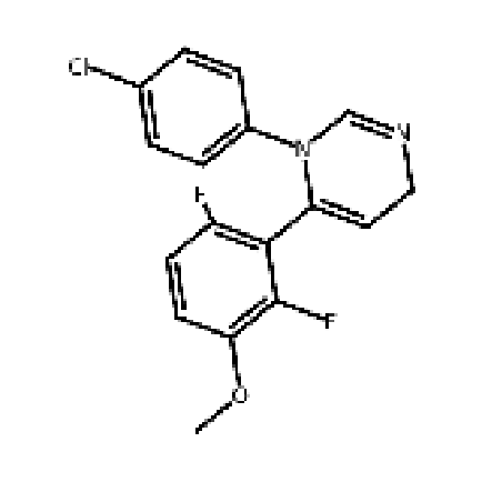 COc1ccc(F)c(C2=CCN=CN2c2ccc(Cl)cc2)c1F